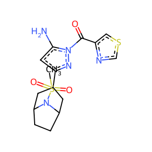 CS(=O)(=O)N1C2CCC1CC(c1cc(N)n(C(=O)c3cscn3)n1)C2